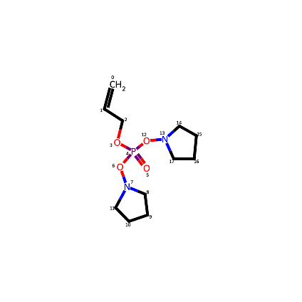 C=CCOP(=O)(ON1CCCC1)ON1CCCC1